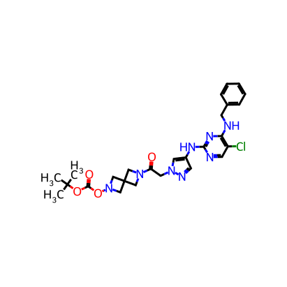 CC(C)(C)OC(=O)ON1CC2(C1)CN(C(=O)Cn1cc(Nc3ncc(Cl)c(NCc4ccccc4)n3)cn1)C2